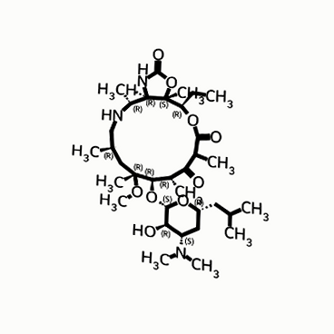 CC[C@H]1OC(=O)C(C)C(=O)[C@H](C)[C@@H](O[C@@H]2O[C@H](CC(C)C)C[C@H](N(C)C)[C@H]2O)[C@](C)(OC)C[C@@H](C)CN[C@H](C)[C@H]2NC(=O)O[C@@]21C